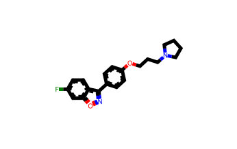 Fc1ccc2c(-c3ccc(OCCCN4CCCC4)cc3)noc2c1